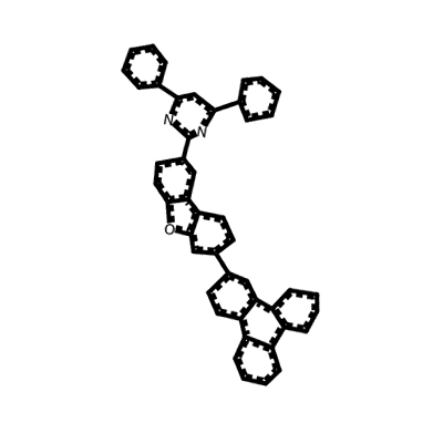 c1ccc(-c2cc(-c3ccccc3)nc(-c3ccc4oc5cc(-c6ccc7c8ccccc8c8ccccc8c7c6)ccc5c4c3)n2)cc1